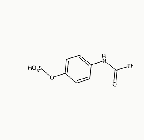 CCC(=O)Nc1ccc(OS(=O)(=O)O)cc1